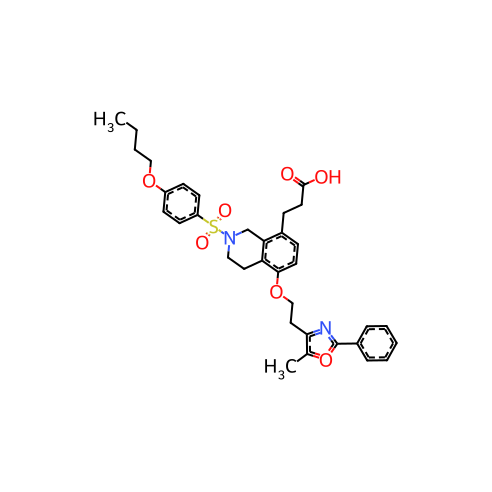 CCCCOc1ccc(S(=O)(=O)N2CCc3c(OCCc4nc(-c5ccccc5)oc4C)ccc(CCC(=O)O)c3C2)cc1